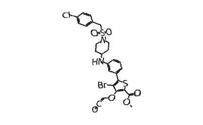 COC(=O)c1sc(-c2cccc(NC3CCN(S(=O)(=O)Cc4ccc(Cl)cc4)CC3)c2)c(Br)c1OC=C=O